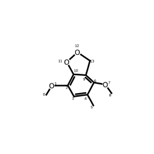 COc1cc(C)c(OC)c2c1OOC2